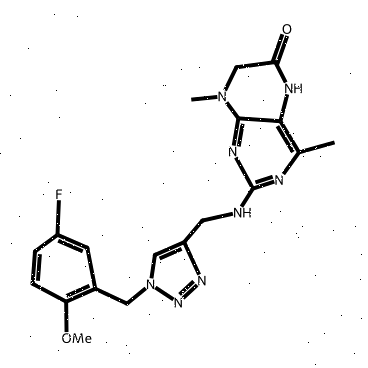 COc1ccc(F)cc1Cn1cc(CNc2nc(C)c3c(n2)N(C)CC(=O)N3)nn1